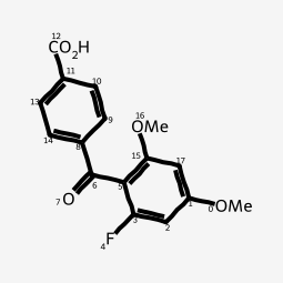 COc1cc(F)c(C(=O)c2ccc(C(=O)O)cc2)c(OC)c1